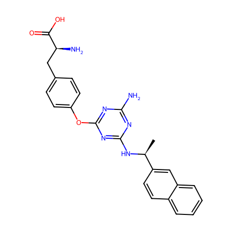 C[C@H](Nc1nc(N)nc(Oc2ccc(C[C@H](N)C(=O)O)cc2)n1)c1ccc2ccccc2c1